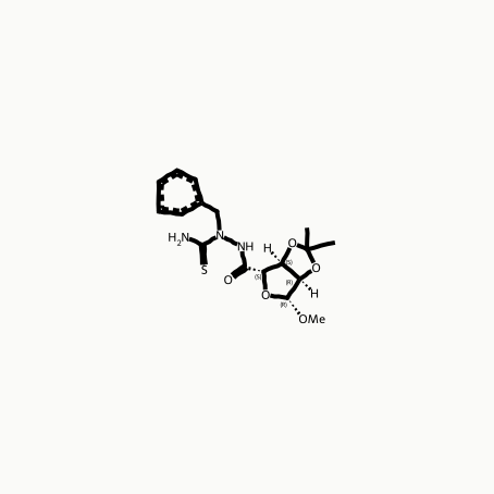 CO[C@@H]1O[C@H](C(=O)NN(Cc2ccccc2)C(N)=S)[C@H]2OC(C)(C)O[C@@H]12